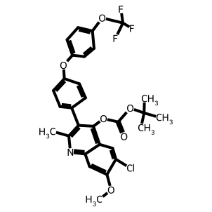 COc1cc2nc(C)c(-c3ccc(Oc4ccc(OC(F)(F)F)cc4)cc3)c(OC(=O)OC(C)(C)C)c2cc1Cl